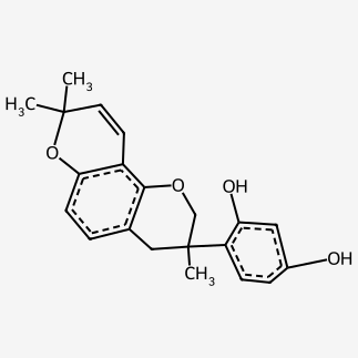 CC1(C)C=Cc2c(ccc3c2OCC(C)(c2ccc(O)cc2O)C3)O1